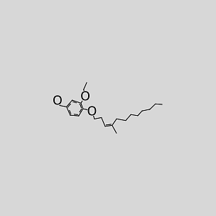 CCCCCCCCC(C)=CCCOc1ccc(C=O)cc1OCC